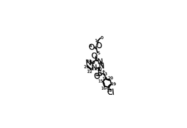 CCOC(=O)COc1nnc([S+]([O-])Cc2ccc(Cl)cc2)n2ccnc12